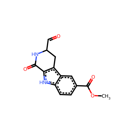 COC(=O)c1ccc2[nH]c3c(c2c1)CC(C=O)NC3=O